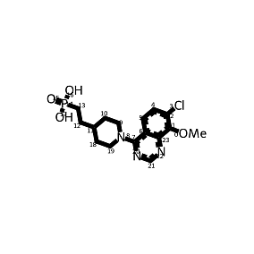 COc1c(Cl)ccc2c(N3CCC(CCP(=O)(O)O)CC3)ncnc12